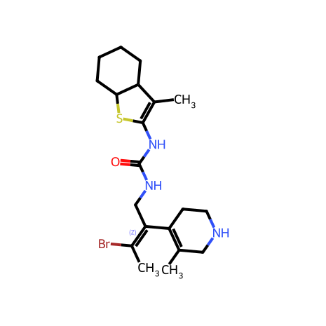 CC1=C(/C(CNC(=O)NC2=C(C)C3CCCCC3S2)=C(\C)Br)CCNC1